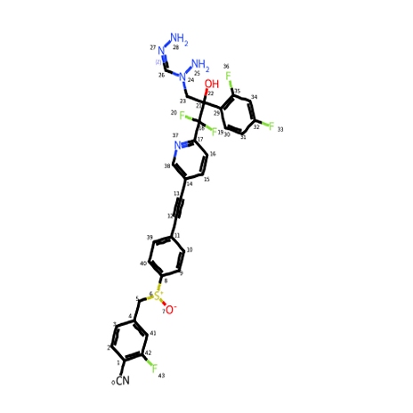 N#Cc1ccc(C[S+]([O-])c2ccc(C#Cc3ccc(C(F)(F)C(O)(CN(N)/C=N\N)c4ccc(F)cc4F)nc3)cc2)cc1F